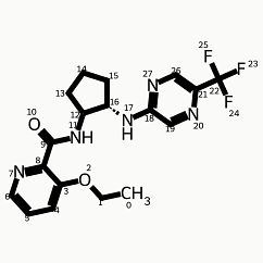 CCOc1cccnc1C(=O)NC1CCC[C@@H]1Nc1cnc(C(F)(F)F)cn1